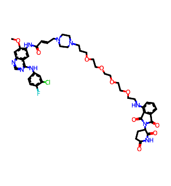 COc1cc2ncnc(Nc3ccc(F)c(Cl)c3)c2cc1NC(=O)/C=C/CN1CCN(CCCOCCOCCOCCOCCNc2cccc3c2C(=O)N(C2CCC(=O)NC2=O)C3=O)CC1